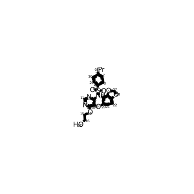 CC(C)c1ccc(S(=O)(=O)Nc2ncnc(OCCO)c2Oc2ccc3c(c2)OCO3)cc1